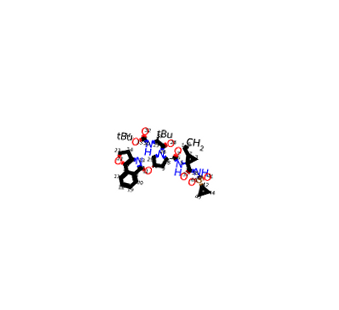 C=CC1C[C@]1(NC(=O)[C@@H]1C[C@@H](Oc2nc3c(c4ccccc24)OCC3)CN1C(=O)[C@@H](NC(=O)OC(C)(C)C)C(C)(C)C)C(=O)NS(=O)(=O)C1CC1